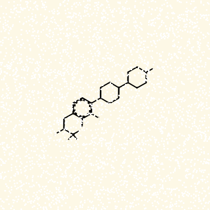 CCCC1CCC(C2CCC(c3ccc4c(c3F)OC(F)(F)C(CCC)C4)CC2)CC1